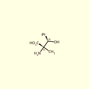 CC(C)[C@@H](O)[C@](C)(N)C(=O)O